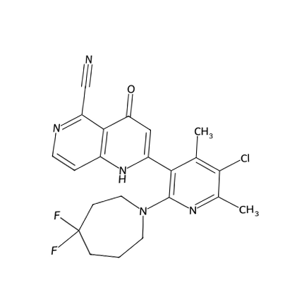 Cc1nc(N2CCCC(F)(F)CC2)c(-c2cc(=O)c3c(C#N)nccc3[nH]2)c(C)c1Cl